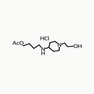 CC(=O)OCCCCNC1CCN(CCO)CC1.Cl